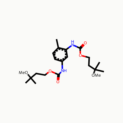 COC(C)(C)CCOC(=O)Nc1ccc(C)c(NC(=O)OCCC(C)(C)OC)c1